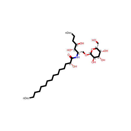 CCCCCCCCCCCCCCCCCCCCCC[C@@H](O)C(=O)N[C@@H](CO[C@H]1O[C@H](CO)[C@H](O)[C@H](O)[C@H]1O)[C@H](O)[C@H](O)CCCCCCCCCCCC